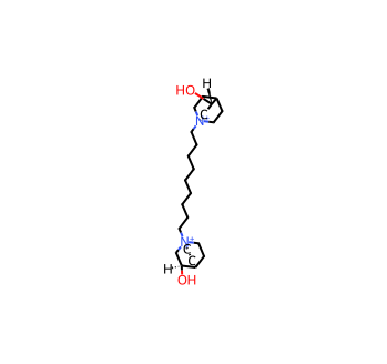 O[C@H]1C[N+]2(CCCCCCCCC[N+]34CCC(CC3)[C@@H](O)C4)CCC1CC2